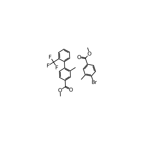 COC(=O)c1ccc(-c2ccccc2C(F)(F)F)c(C)c1.COC(=O)c1ccc(Br)c(C)c1